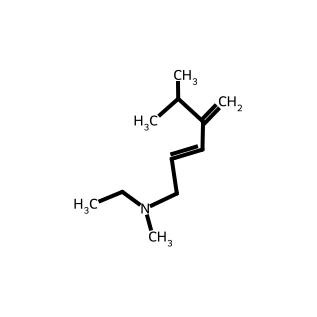 C=C(/C=C/CN(C)CC)C(C)C